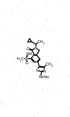 CC(=O)Nc1nc(C)c(-c2cc3c(c(S(C)(=N)=O)c2)C(=O)N(C(C)C2CC2)C3)s1